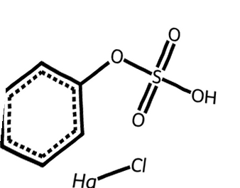 O=S(=O)(O)Oc1ccccc1.[Cl][Hg]